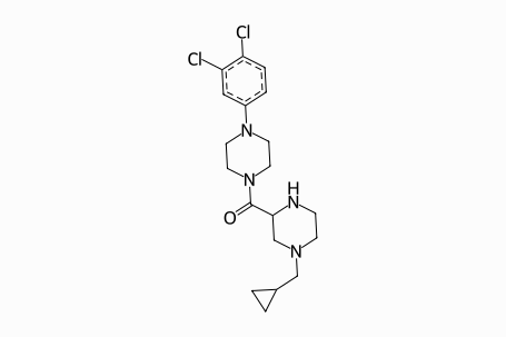 O=C(C1CN(CC2CC2)CCN1)N1CCN(c2ccc(Cl)c(Cl)c2)CC1